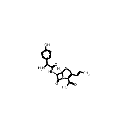 C/C=C/C1=C(C(=O)O)N2C(=O)[C@@H](NC(=O)C(N)c3ccc(O)cc3)[C@H]2SC1